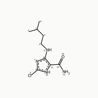 CC(C)CCNc1nc(Cl)[nH]c1C(N)=O